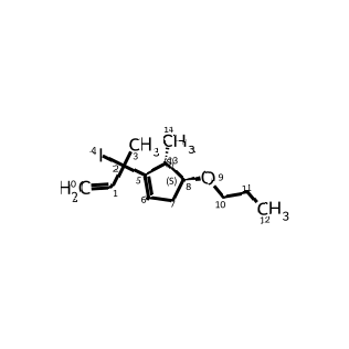 C=CC(C)(I)C1=CC[C@H](OCCC)[C@H]1C